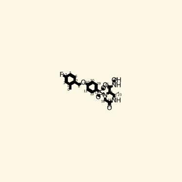 Cc1cc(F)ccc1COc1ccc(S(=O)(=O)N2CC(=O)N[C@@H](C)C2C(=O)NO)cc1